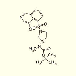 CN(C(=O)OC(C)(C)C)[C@H]1CCN(S(=O)(=O)c2cccc3cncc(Cl)c23)C1